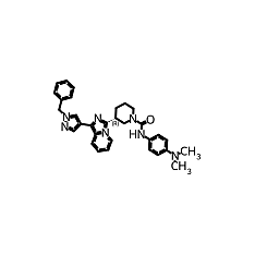 CN(C)c1ccc(NC(=O)N2CCC[C@@H](c3nc(-c4cnn(Cc5ccccc5)c4)c4ccccn34)C2)cc1